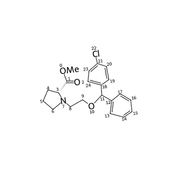 COC(=O)[C@H]1CCCN1CCOC(c1ccccc1)c1ccc(Cl)cc1